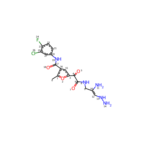 Cc1oc(C(=O)C(=O)NC/C(N)=C/NN)cc1C(=O)Nc1ccc(F)c(Cl)c1